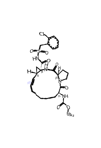 CC(C)(C)OC(=O)N[C@H]1CCCCC/C=C\[C@@H]2C[C@@]2(C(=O)NS(=O)(=O)Cc2ccccc2Cl)NC(=O)[C@@H]2CCCN2C1=O